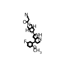 COc1ccc(F)cc1-c1ccnc2[nH]c([C@H]3C[C@@H]4CN(C(=O)CC#N)C[C@@H]4C3)cc12